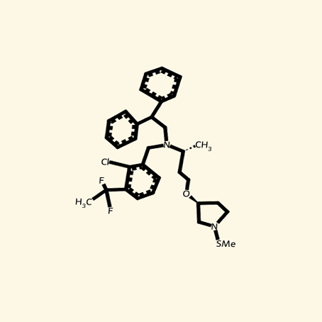 CSN1CC[C@H](OCC[C@@H](C)N(Cc2cccc(C(C)(F)F)c2Cl)CC(c2ccccc2)c2ccccc2)C1